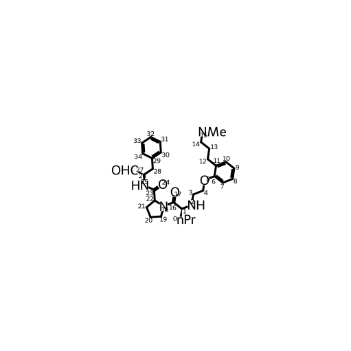 CCC[C@H](NCCOc1ccccc1CCCNC)C(=O)N1CCCC1C(=O)N[C@@H](C=O)Cc1ccccc1